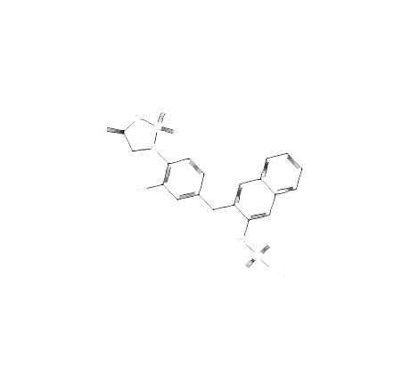 CS(=O)(=O)Nc1cc2ccccc2cc1Cc1ccc(N2CC(=O)NS2(=O)=O)c(O)c1